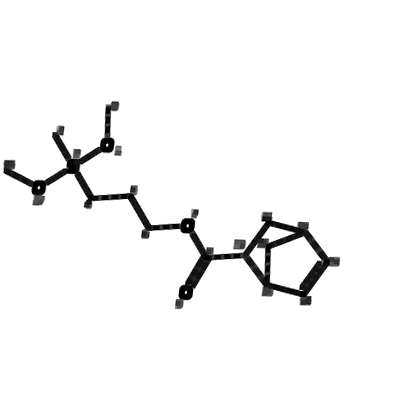 CO[Si](C)(CCCOC(=O)C1CC2C=CC1C2)OC